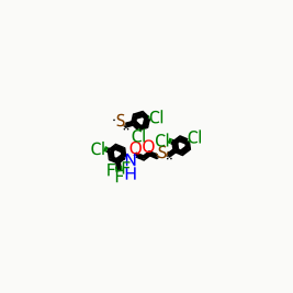 O=C(CS[C]c1ccc(Cl)cc1Cl)CC(=O)Nc1ccc(Cl)cc1C(F)(F)F.[S][C]c1ccc(Cl)cc1Cl